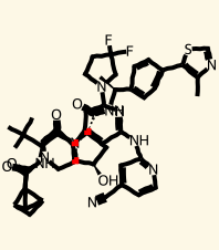 Cc1ncsc1-c1ccc([C@H](C)NC(=O)[C@@H]2C[C@@H](O)CN2C(=O)[C@@H](NC(=O)C2C3CC2C3C(=O)N2CCC(c3cc(Nc4cc(C#N)ccn4)nc(N4CCC(F)(F)C4)c3)CC2)C(C)(C)C)cc1